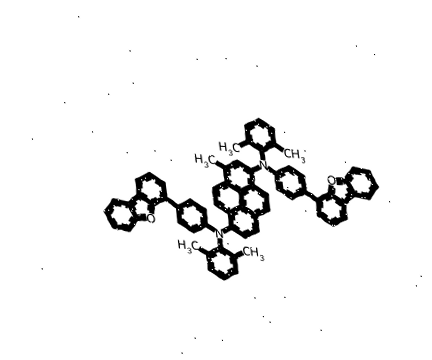 Cc1cccc(C)c1N(c1ccc(-c2cccc3c2oc2ccccc23)cc1)c1ccc2ccc3c(N(c4ccc(-c5cccc6c5oc5ccccc56)cc4)c4c(C)cccc4C)cc(C)c4ccc1c2c43